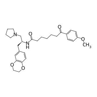 COc1ccc(C(=O)CCCCCC(=O)N[C@@H](Cc2ccc3c(c2)OCCO3)CN2CCCC2)cc1